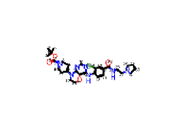 CC(C)(C)OC(=O)N1CCC(N2CCOc3c(Nc4ccc(C(=O)NCCN5CCCC5)cc4Cl)ncnc32)CC1